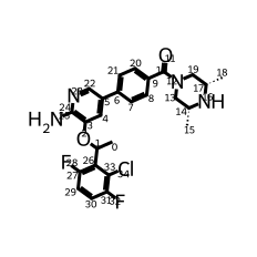 CC(Oc1cc(-c2ccc(C(=O)N3C[C@@H](C)N[C@@H](C)C3)cc2)cnc1N)c1c(F)ccc(F)c1Cl